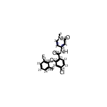 CN/C=C\C(=C/C=O)NC(=O)c1ccc(Cl)cc1Oc1c(F)cccc1F